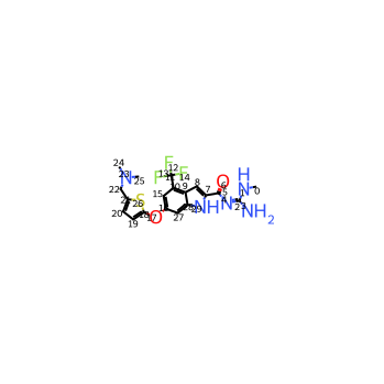 CNC(N)=NC(=O)c1cc2c(C(F)(F)F)cc(Oc3ccc(CN(C)C)s3)cc2[nH]1